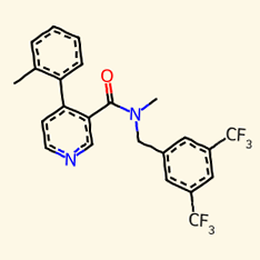 Cc1ccccc1-c1ccncc1C(=O)N(C)Cc1cc(C(F)(F)F)cc(C(F)(F)F)c1